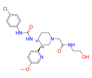 COc1ccc([C@@H]2CN(CC(=O)NCCO)CC[C@H]2NC(=O)Nc2ccc(Cl)cc2)nc1